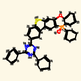 O=P1(c2ccccc2)c2ccccc2Oc2cc3sc4ccc(-c5nc(-c6ccccc6)nc(-c6ccccc6)n5)cc4c3cc21